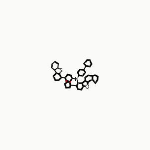 C1=CC2Sc3c(-c4ccc(N(c5ccc(-c6ccccc6)cc5)c5c(-c6ccccc6)ccc6oc7c8ccccc8ccc7c56)cc4)cccc3C2C=C1